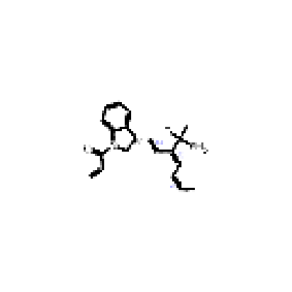 C=CC(=O)N1C[C@@H](/C=C/C(=C\C=C/C)C(C)(F)P)c2ccccc21